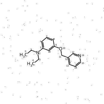 CCN(CC)c1cc[c]c(OCc2cccnc2)c1